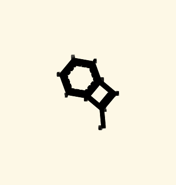 CC1=[C]c2ccccc21